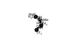 CNc1cc(Nc2ncc(C(=O)Nc3cc(NC(=O)c4cccc(C(F)(F)F)c4)ccc3C)c(NC)n2)ccc1C